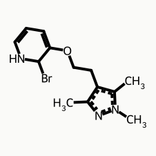 Cc1nn(C)c(C)c1CCOC1=CC=CNC1Br